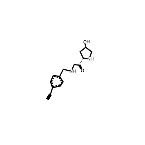 C#Cc1ccc(CNCC(=O)[C@@H]2C[C@@H](O)CN2)cc1